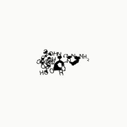 N#C[C@H]1[C@H](n2ccc(N)nc2=O)O[C@@H]2C(OP(=O)(O)OP(=O)(O)OP(=O)(O)O)[C@@]21O